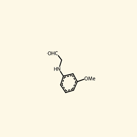 COc1cccc(NC[C]=O)c1